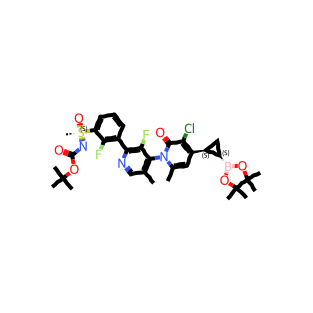 Cc1cnc(-c2cccc([S@](C)(=O)=NC(=O)OC(C)(C)C)c2F)c(F)c1-n1c(C)cc([C@H]2C[C@@H]2B2OC(C)(C)C(C)(C)O2)c(Cl)c1=O